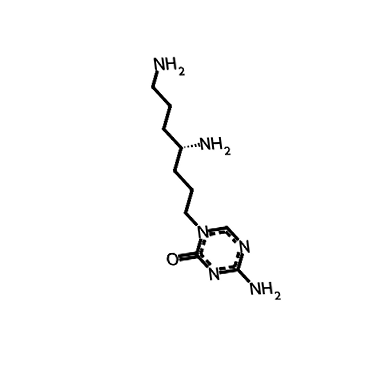 NCCC[C@H](N)CCCn1cnc(N)nc1=O